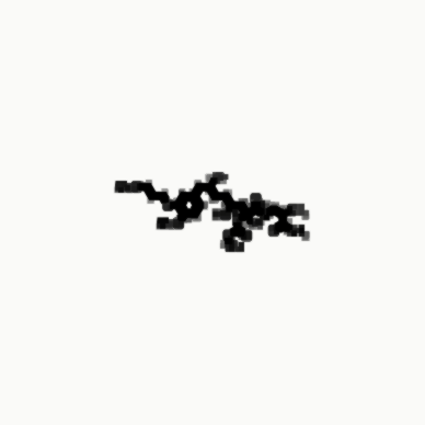 COCCCOc1cc(C[C@H](CC[C@H](O)C[C@@](NC(=O)OC(C)(C)C)(C(=O)NC[C@@H](C)C(N)=O)C(C)C)C(C)C)ccc1OC